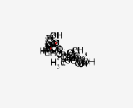 CC(=O)O[C@@H](CC(=O)OC1=CC[C@@]2(O)[C@H]3Cc4ccc(O)c5c4C2(CCN3C)[C@H]1O5)C(O)O[C@@H](C)C(=O)O[C@H](CC(=O)O)C(=O)O